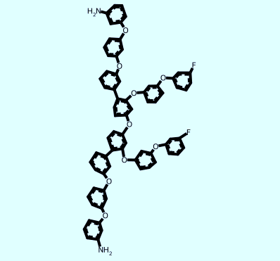 Nc1cccc(Oc2cccc(Oc3cccc(-c4ccc(Oc5ccc(-c6cccc(Oc7cccc(Oc8cccc(N)c8)c7)c6)c(Oc6cccc(Oc7cccc(F)c7)c6)c5)cc4Oc4cccc(Oc5cccc(F)c5)c4)c3)c2)c1